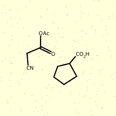 CC(=O)OC(=O)CC#N.O=C(O)C1CCCC1